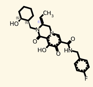 C/C=C1\Cn2cc(C(=O)NCc3ccc(F)cc3)c(=O)c(O)c2C(=O)N1C[C@@H]1CCCC[C@@H]1O